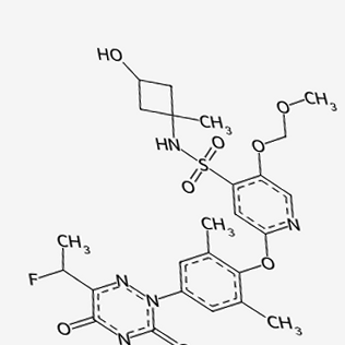 COCOc1cnc(Oc2c(C)cc(-n3nc(C(C)F)c(=O)[nH]c3=O)cc2C)cc1S(=O)(=O)NC1(C)CC(O)C1